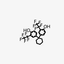 Oc1ccc(C2(c3ccc(O)c(C(F)(F)C(F)(F)F)c3)CCCCC2)cc1C(F)(F)C(F)(F)F